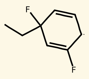 CCC1(F)C=C[CH]C(F)=C1